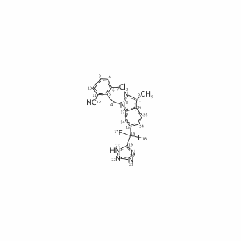 Cc1nn(Cc2c(Cl)cccc2C#N)c2cc(C(F)(F)c3nnn[nH]3)ccc12